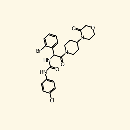 O=C(Nc1ccc(Cl)cc1)NC(C(=O)N1CCC(N2CCOCC2=O)CC1)c1ccccc1Br